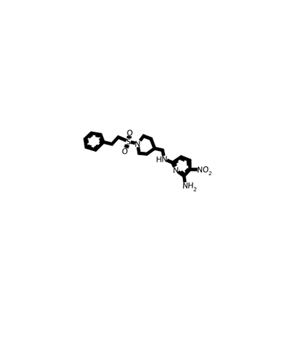 Nc1nc(NCC2CCN(S(=O)(=O)CCc3ccccc3)CC2)ccc1[N+](=O)[O-]